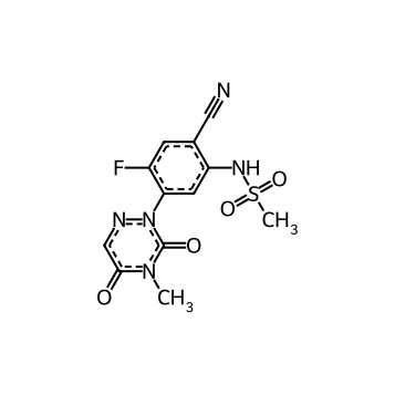 Cn1c(=O)cnn(-c2cc(NS(C)(=O)=O)c(C#N)cc2F)c1=O